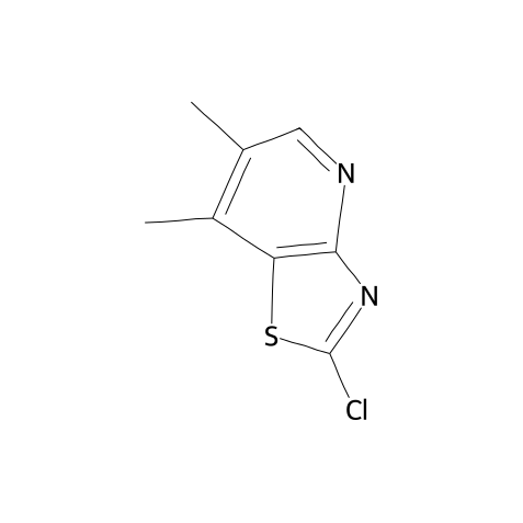 Cc1cnc2nc(Cl)sc2c1C